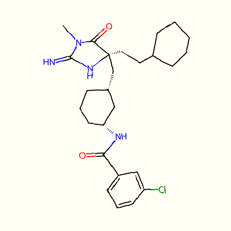 CN1C(=N)N[C@](CCC2CCCCC2)(C[C@H]2CCC[C@@H](NC(=O)c3cccc(Cl)c3)C2)C1=O